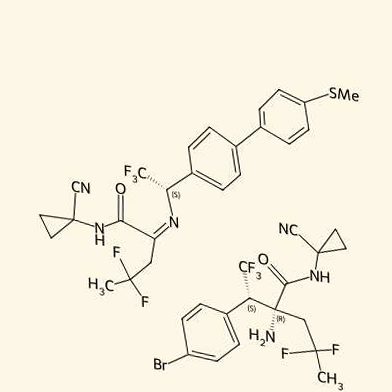 CC(F)(F)C[C@](N)(C(=O)NC1(C#N)CC1)[C@H](c1ccc(Br)cc1)C(F)(F)F.CSc1ccc(-c2ccc([C@H](N=C(CC(C)(F)F)C(=O)NC3(C#N)CC3)C(F)(F)F)cc2)cc1